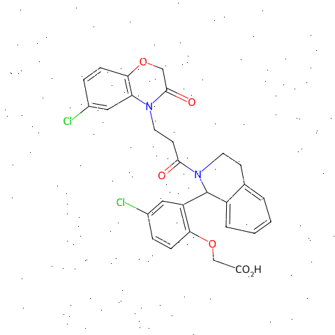 O=C(O)COc1ccc(Cl)cc1C1c2ccccc2CCN1C(=O)CCN1C(=O)COc2ccc(Cl)cc21